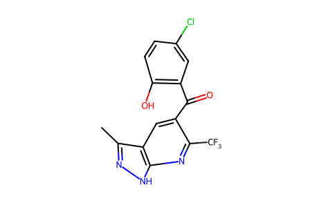 Cc1n[nH]c2nc(C(F)(F)F)c(C(=O)c3cc(Cl)ccc3O)cc12